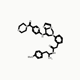 COc1ccc(CC(C)NC(=O)Cc2cccc(N3C=C(Nc4ccc(C(=O)N5CCOCC5)cn4)C4=NC=C[N+]4C3)c2)cc1